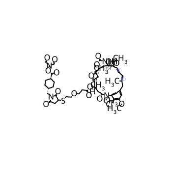 COc1cc2cc(c1Cl)N(C)C(=O)C[C@H](OC(=O)CCOCCSC1CC(=O)N(C[C@H]3CC[C@H](C(=O)ON(C=O)C=O)CC3)C1=O)[C@@]1(C)C[C@@](C)(O1)C1C[C@@](O)(NC(=O)O1)[C@H](OC)/C=C/C=C(\C)C2